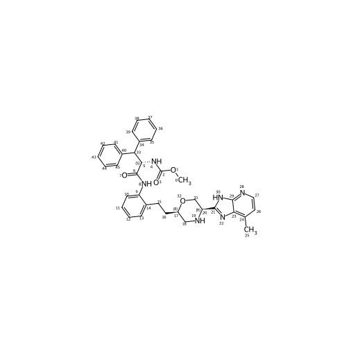 COC(=O)N[C@H](C(=O)Nc1ccccc1CC[C@@H]1CN[C@H](c2nc3c(C)ccnc3[nH]2)CO1)C(c1ccccc1)c1ccccc1